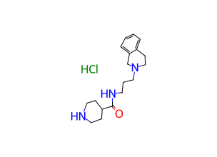 Cl.O=C(NCCCN1CCc2ccccc2C1)C1CCNCC1